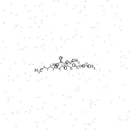 CCCCCOCCOCCOCCOCC.CCOCC(=O)O